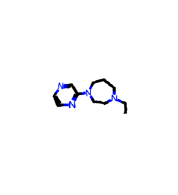 CCN1CCCN(c2cnccn2)CC1